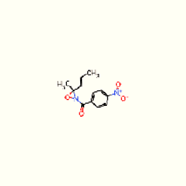 CCCC1(C)ON1C(=O)c1ccc([N+](=O)[O-])cc1